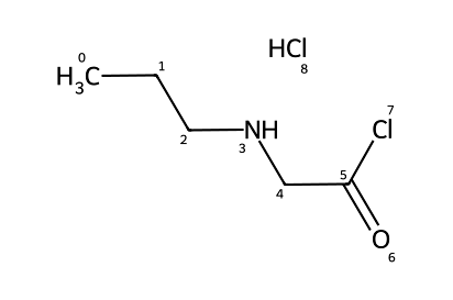 CCCNCC(=O)Cl.Cl